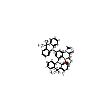 CC1(C)c2ccccc2N(c2cc(N3c4ccccc4C(C)(C)c4ccccc43)c3c(c2)n2cnnc2c2nncn23)c2ccccc21